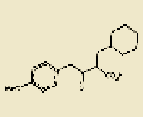 COc1ccc(CC(=O)C(CC2CCCCC2)C(=O)O)cc1